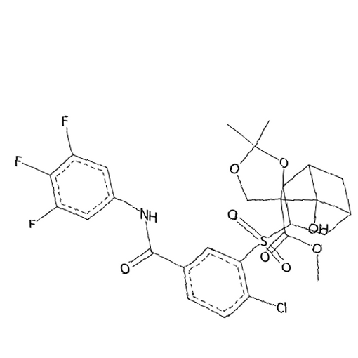 COC(=O)C1(C2(O)C3CC2CC(S(=O)(=O)c2cc(C(=O)Nc4cc(F)c(F)c(F)c4)ccc2Cl)C3)COC(C)(C)O1